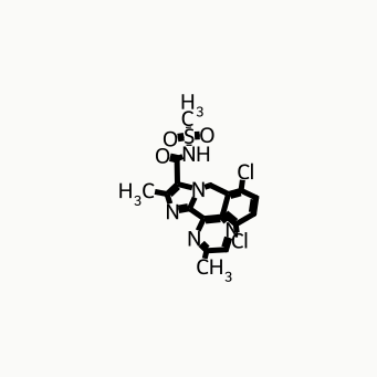 Cc1cncc(-c2nc(C)c(C(=O)NS(C)(=O)=O)n2Cc2cc(Cl)ccc2Cl)n1